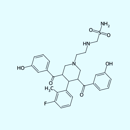 Cc1c(F)cccc1C1C(C(=O)c2cccc(O)c2)CN(CCNCS(N)(=O)=O)CC1C(=O)c1cccc(O)c1